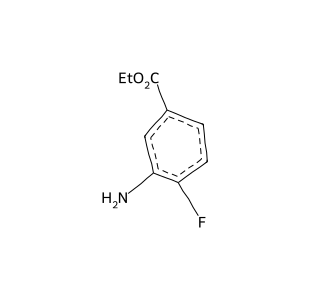 CCOC(=O)c1ccc(F)c(N)c1